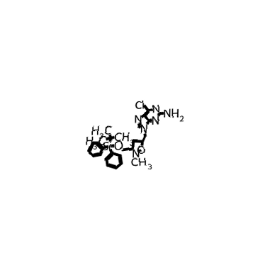 CN1OC(Cn2cnc3c(Cl)nc(N)nc32)CC1CO[Si](c1ccccc1)(c1ccccc1)C(C)(C)C